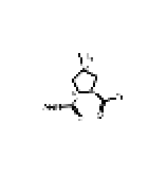 CCC(=O)N1C[C@H](C)C[C@H]1C(=O)NC